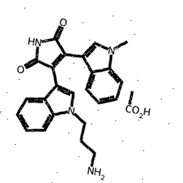 CC(=O)O.Cn1cc(C2=C(c3cn(CCCN)c4ccccc34)C(=O)NC2=O)c2ccccc21